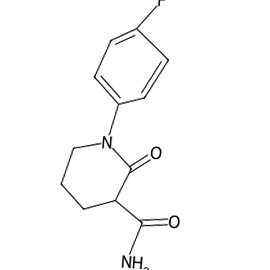 NC(=O)C1CCCN(c2ccc(F)cc2)C1=O